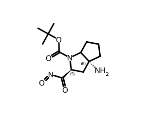 CC(C)(C)OC(=O)N1C2CCC[C@@]2(N)C[C@H]1C(=O)N=O